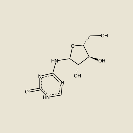 O=c1nc(NC2O[C@H](CO)[C@@H](O)[C@@H]2O)nc[nH]1